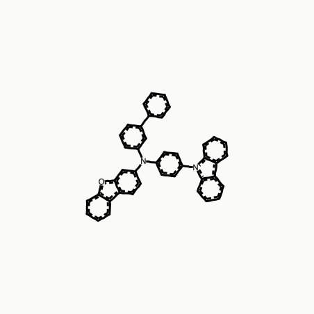 c1ccc(-c2cccc(N(c3ccc(-n4c5ccccc5c5ccccc54)cc3)c3ccc4c(c3)oc3ccccc34)c2)cc1